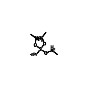 CC[CH][Si](O[SiH2]C)(O[SiH2]C)O[SiH2]C